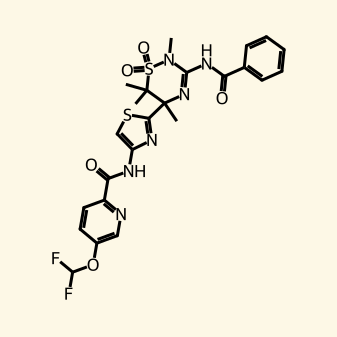 CN1C(NC(=O)c2ccccc2)=NC(C)(c2nc(NC(=O)c3ccc(OC(F)F)cn3)cs2)C(C)(C)S1(=O)=O